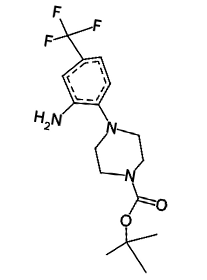 CC(C)(C)OC(=O)N1CCN(c2ccc(C(F)(F)F)cc2N)CC1